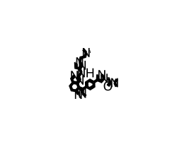 CN(C)CCn1ccc(Nc2ncc3c(n2)-c2c(nn(C)c2-c2ccc(-c4cnn(CC(=O)N(C)C)c4)cc2)CC3)n1